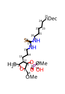 B[C@@H]1O[C@H](COC)C(OP(=O)(O)OC)[C@@H]1CCCNC(=S)NCCCCCCCCCCCCCCC